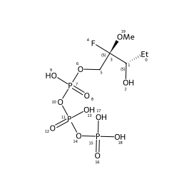 CC[C@H](O)[C@@](F)(COP(=O)(O)OP(=O)(O)OP(=O)(O)O)OC